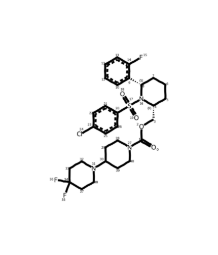 O=C(OC[C@H]1CCC[C@@H](c2ccccc2F)N1S(=O)(=O)c1ccc(Cl)cc1)N1CCC(N2CCC(F)(F)CC2)CC1